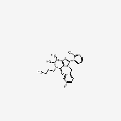 CN1c2nc(-c3ccccc3Cl)n(Cc3ccc(F)cc3)c2C(=O)N(CCCO)C1O